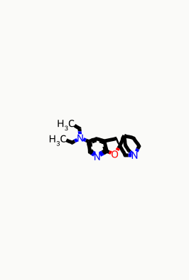 CCN(CC)c1cnc2c(c1)C[C@@]1(CN3CCC1CC3)O2